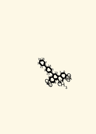 C[n+]1cc2c3c(ccc2c2cc(-c4ccc(-c5ccccc5)cc4)c4cc5c(cc4c21)OCO5)OCO3